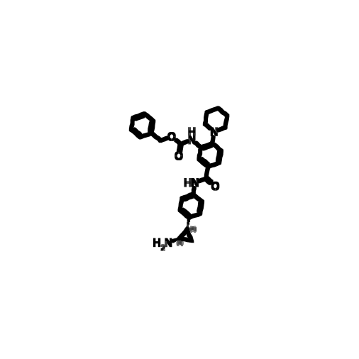 N[C@@H]1C[C@H]1c1ccc(NC(=O)c2ccc(N3CCCCC3)c(NC(=O)OCc3ccccc3)c2)cc1